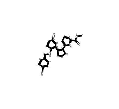 COC(=O)c1cccc(C2=C(c3cc(Cl)ccc3OCc3ccc(F)cc3)CCC2)n1